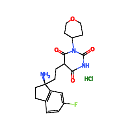 Cl.N[C@]1(CCC2C(=O)NC(=O)N(C3CCOCC3)C2=O)CCc2ccc(F)cc21